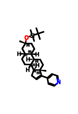 CC(C)(C)[Si](C)(C)O[C@]1(C)CC[C@H]2[C@H](CC[C@@H]3[C@@H]2CC[C@]2(C)C(c4ccncc4)=CC[C@@H]32)C1